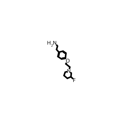 NCCc1ccc(OCCN2CCCC(F)C2)cc1